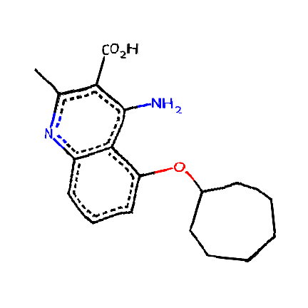 Cc1nc2cccc(OC3CCCCCC3)c2c(N)c1C(=O)O